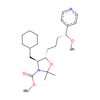 CCCO[C@H](CCC[C@@H]1OC(C)(C)N(C(=O)OC(C)(C)C)[C@H]1CC1CCCCC1)c1ccncc1